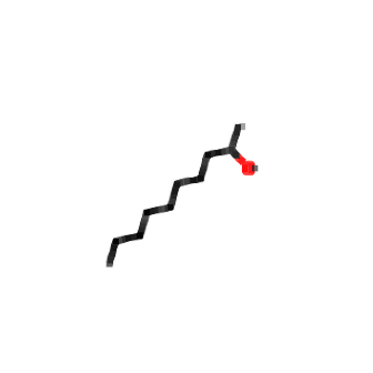 [CH2]C([O])CCCCCCCC